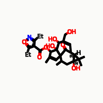 CCc1noc(CC)c1C(=O)OC1C(C)=CC23C(=O)C(C=C(CO)C(O)C12O)[C@@H]1C(C)(C)[C@]1(O)CC3C